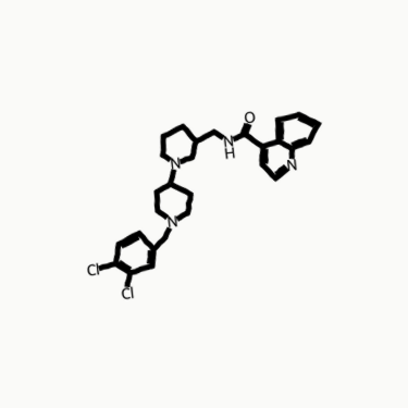 O=C(NCC1CCCN(C2CCN(Cc3ccc(Cl)c(Cl)c3)CC2)C1)c1ccnc2ccccc12